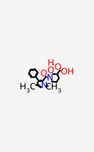 Cc1cn(C)c(C(=O)N2CCCC(C(=O)O)C2O)c1-c1ccccc1